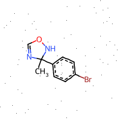 CC1(c2ccc(Br)cc2)N=CON1